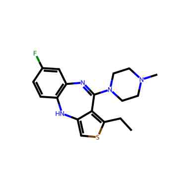 CCc1scc2c1C(N1CCN(C)CC1)=Nc1cc(F)ccc1N2